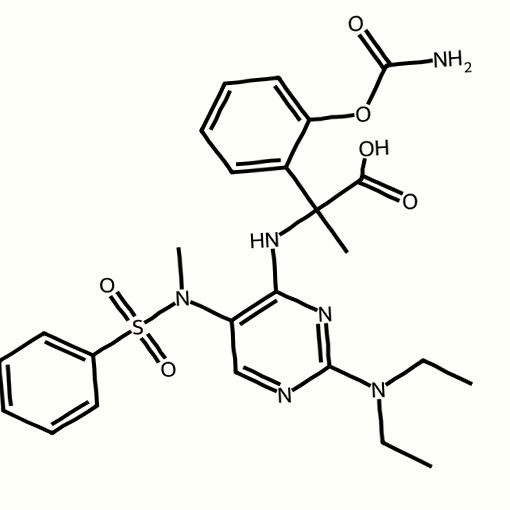 CCN(CC)c1ncc(N(C)S(=O)(=O)c2ccccc2)c(NC(C)(C(=O)O)c2ccccc2OC(N)=O)n1